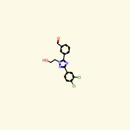 O=Cc1cccc(-c2nc(-c3ccc(Cl)c(Cl)c3)nn2CCO)c1